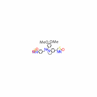 COc1ccc(/C(=N/Cc2ccc(NS(C)(=O)=O)cc2)N2CCCc3cc(C4=NN(C)C(=O)SC4)ccc32)cc1OC